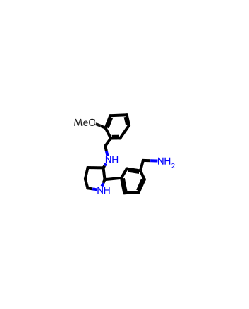 COc1ccccc1CNC1CCCNC1c1cccc(CN)c1